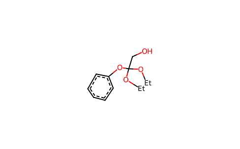 CCOC(CO)(OCC)Oc1ccccc1